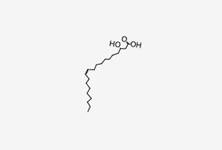 CCCCCCCC/C=C\CCCCCCC[C@H](O)CC(=O)O